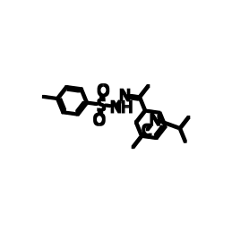 C/C(=N/NS(=O)(=O)c1ccc(C)cc1)C1CC2(C)C=CC1N(C(C)C)C2